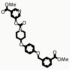 COC(=O)c1cccc(COc2ccc(OC3CCN(C(=O)Oc4cncc(C(=O)OC)c4)CC3)cc2)c1